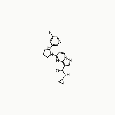 O=C(NC1CC1)c1cnn2ccc(N3CCC[C@H]3c3cncc(F)c3)nc12